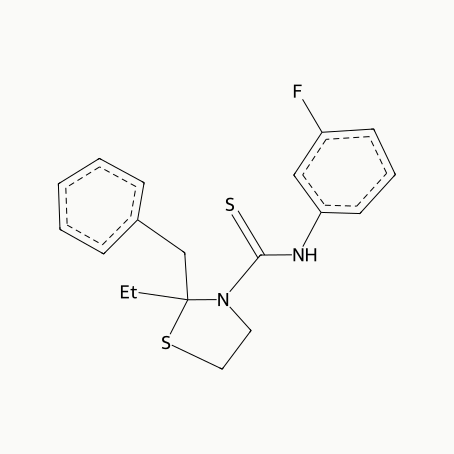 CCC1(Cc2ccccc2)SCCN1C(=S)Nc1cccc(F)c1